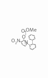 COC(=O)COc1nc(-c2ccccc2-c2ccccc2)ccc1[N+](=O)[O-]